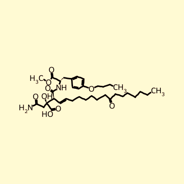 CCCCCCCC(=O)CCCCCC/C=C/[C@H](C(=O)N[C@@H](Cc1ccc(OCCCC)cc1)C(=O)OC)[C@@](O)(CC(N)=O)C(=O)O